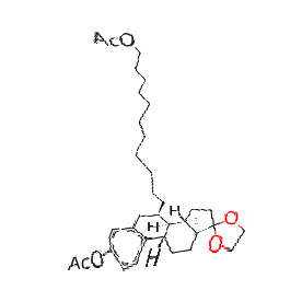 CC(=O)OCCCCCCCCCCC[C@@H]1Cc2cc(OC(C)=O)ccc2[C@H]2CC[C@@]3(C)[C@@H](CCC34OCCO4)[C@H]12